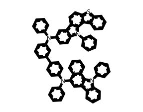 c1ccc(N(c2cccc(-c3ccc(N(c4ccccc4)c4cc5c6ccccc6n(-c6ccccc6)c5c5ccccc45)cc3)c2)c2ccc3c(c2)c2ccc4sc5ccccc5c4c2n3-c2ccccc2)cc1